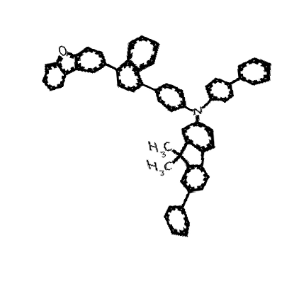 CC1(C)c2cc(-c3ccccc3)ccc2-c2ccc(N(c3ccc(-c4ccccc4)cc3)c3ccc(-c4ccc(-c5ccc6oc7ccccc7c6c5)c5ccccc45)cc3)cc21